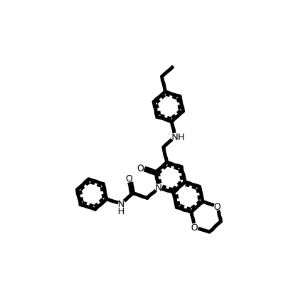 CCc1ccc(NCc2cc3cc4c(cc3n(CC(=O)Nc3ccccc3)c2=O)OCCO4)cc1